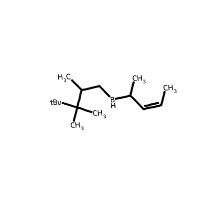 C/C=C\C(C)BCC(C)C(C)(C)C(C)(C)C